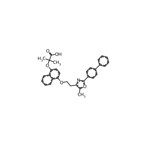 Cc1oc(-c2ccc(-c3ccccc3)cc2)nc1CCOc1ccc(OC(C)(C)C(=O)O)c2ccccc12